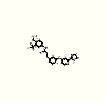 NCc1ccc(NC(=O)C=Cc2cccc(Oc3ccnc(C4=NCCN4)c3)c2)cc1C(F)(F)F